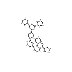 c1ccc(-c2cc(-c3ccc(-c4cccc(-c5cccc6c(-c7ccncc7)nc7ccccc7c56)c4)cc3)nc(-c3ccccc3)n2)cc1